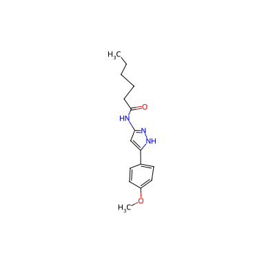 CCCCCC(=O)Nc1cc(-c2ccc(OC)cc2)[nH]n1